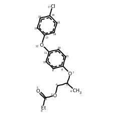 CCC(=O)OCC(C)Oc1ccc(Oc2ccc(Cl)cc2)cc1